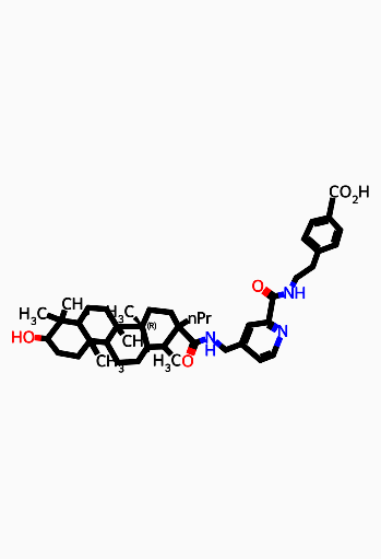 CCCC1(C(=O)NCc2ccnc(C(=O)NCCc3ccc(C(=O)O)cc3)c2)CC[C@]2(C)C(CCC3C4(C)CCC(O)C(C)(C)C4CCC32C)C1C